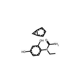 CCN(C(N)=O)c1ccc(O)cc1O.c1cc2cc-2c1